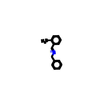 Bc1ccccc1/C=N/Cc1ccccc1